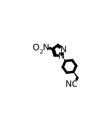 N#CC[C@H]1CC[C@H](n2cc([N+](=O)[O-])cn2)CC1